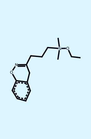 CCO[Si](C)(C)CCCC1=NOc2ccccc2C1